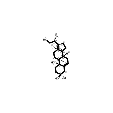 CC[C@]1(O)CC[C@@]2(C)C(=CC[C@H]3[C@@H]4CC[C@H]([C@H](C)CO)[C@@]4(C)CC[C@@H]32)C1